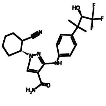 CC(C)(c1ccc(Nc2nn([C@@H]3CCCCC3C#N)cc2C(N)=O)cc1)[C@@H](O)C(F)(F)F